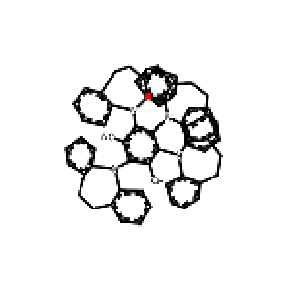 N#Cc1c(N2c3ccccc3CCc3ccccc32)c(N2c3ccccc3CCc3ccccc32)c(N2c3ccccc3CCc3ccccc32)c(C(F)(F)F)c1N1c2ccccc2CCc2ccccc21